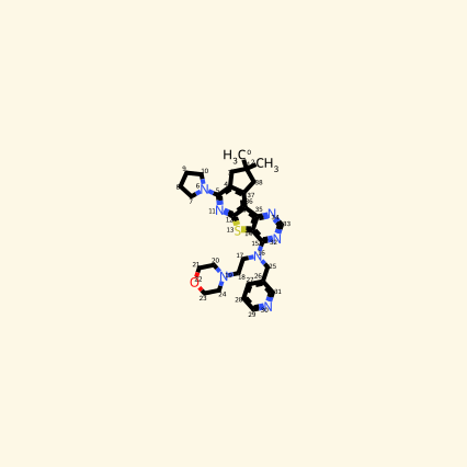 CC1(C)Cc2c(N3CCCC3)nc3sc4c(N(CCN5CCOCC5)Cc5cccnc5)ncnc4c3c2C1